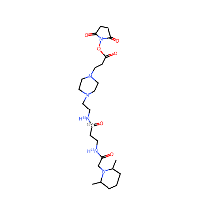 CC1CCCC(C)N1CC(=O)[15NH]CC[13C](=O)[15NH]CCN1CCN(CCC(=O)ON2C(=O)CCC2=O)CC1